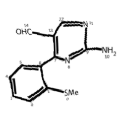 CSc1ccccc1-c1nc(N)ncc1C=O